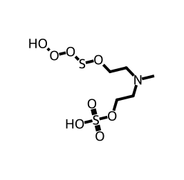 CN(CCOSOOO)CCOS(=O)(=O)O